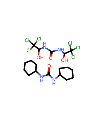 O=C(NC(O)C(Cl)(Cl)Cl)NC(O)C(Cl)(Cl)Cl.O=C(NC1CCCCC1)NC1CCCCC1